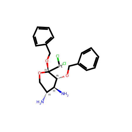 N[C@H]1[C@H](N)CO[C@](OCc2ccccc2)([Pt]([Cl])[Cl])[C@@H]1OCc1ccccc1